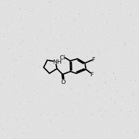 O=C(c1cc(F)c(F)cc1Cl)C1CCCN1